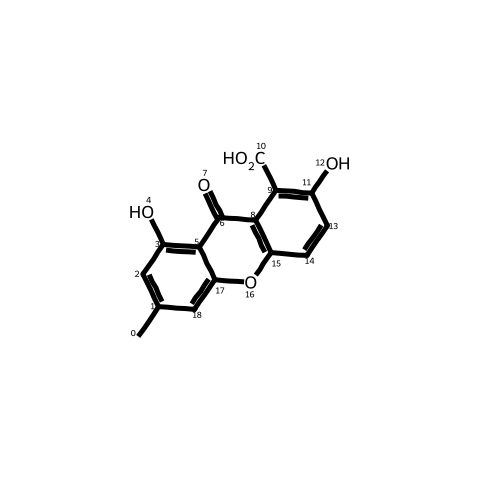 Cc1cc(O)c2c(=O)c3c(C(=O)O)c(O)ccc3oc2c1